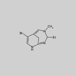 CCC1N=C2CC(=CN1C)C(Br)=CN2